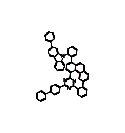 c1ccc(-c2ccc(-c3nc(-c4ccccc4-c4ccccc4)nc(-c4ccc(-c5ccccc5-n5c6ccccc6c6ccc(-c7ccccc7)cc65)c5ccccc45)n3)cc2)cc1